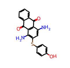 Nc1cc(Sc2ccc(O)cc2)c(N)c2c1C(=O)c1ccccc1C2=O